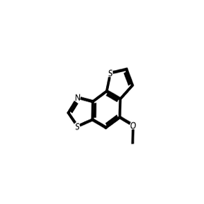 COc1cc2scnc2c2sccc12